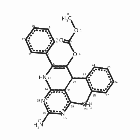 COC(=O)OC1=C(c2ccccc2)Nc2nc(N)nc(N)c2C1c1ccccc1Cl